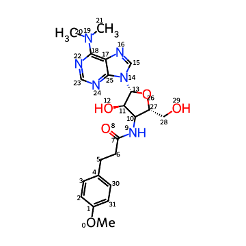 COc1ccc(CCC(=O)NC2[C@@H](O)[C@H](n3cnc4c(N(C)C)ncnc43)O[C@@H]2CO)cc1